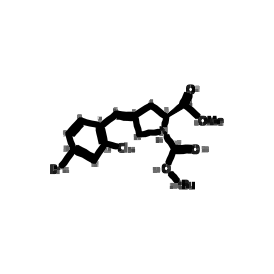 COC(=O)[C@@H]1CC(=Cc2ccc(Br)cc2Cl)CN1C(=O)OC(C)(C)C